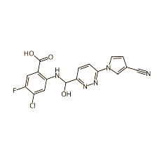 N#Cc1ccn(-c2ccc(C(O)Nc3cc(Cl)c(F)cc3C(=O)O)nn2)c1